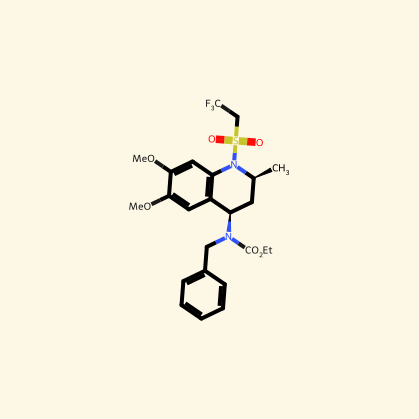 CCOC(=O)N(Cc1ccccc1)[C@@H]1C[C@H](C)N(S(=O)(=O)CC(F)(F)F)c2cc(OC)c(OC)cc21